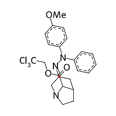 COc1ccc(N(N=C2CC3CCN(C2)C3C(=O)OCC(Cl)(Cl)Cl)c2ccccc2)cc1